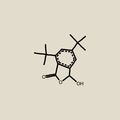 CC(C)(C)c1cc2c(c(C(C)(C)C)c1)C(=O)OC2O